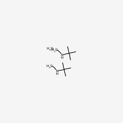 CC(C)(C)N[SiH3].CC(C)(C)N[SiH3].[SiH4]